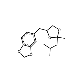 CC(C)CC1(C)OCC(Cc2ccc3c(c2)OCO3)O1